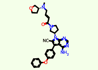 CN(CC=CC(=O)N1CC[C@@H](n2c(C#N)c(-c3ccc(Oc4ccccc4)cc3)c3c(N)ncnc32)C1)[C@@H]1CCOC1